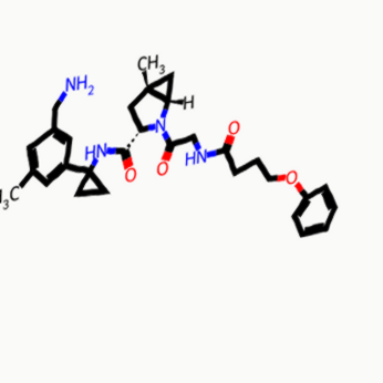 Cc1cc(CN)cc(C2(NC(=O)[C@@H]3C[C@]4(C)C[C@@H]4N3C(=O)CNC(=O)CCCOc3ccccc3)CC2)c1